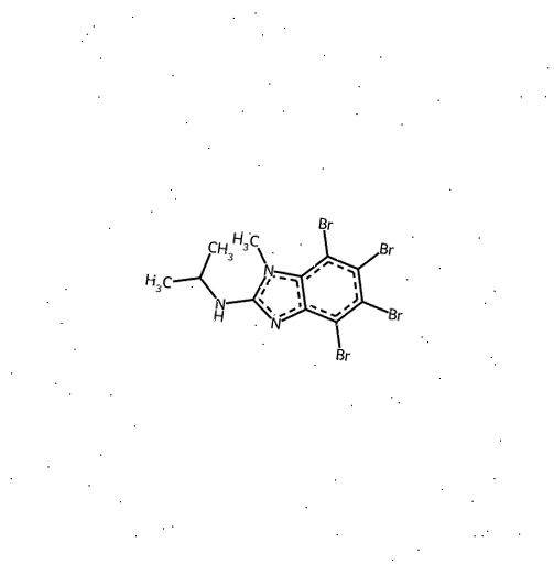 CC(C)Nc1nc2c(Br)c(Br)c(Br)c(Br)c2n1C